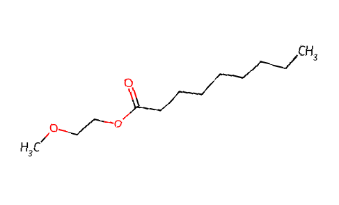 CCCCCCCCC(=O)OCCOC